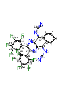 N#C/N=C1/c2ccccc2/C(=N\C#N)c2nc(-c3c(F)c(F)c(F)c(F)c3F)c(-c3c(F)c(F)c(F)c(F)c3F)nc21